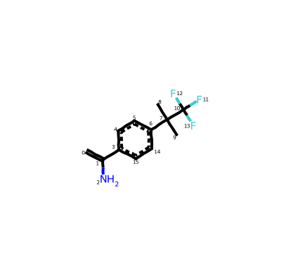 C=C(N)c1ccc(C(C)(C)C(F)(F)F)cc1